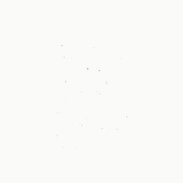 c1ccc2c(c1)-c1c(ccc3ccccc13)B1c3ccc4ccccc4c3-c3ccccc3N12